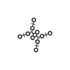 CC(C)(c1ccccc1)c1ccc(N(c2ccc(C(C)(C)c3ccccc3)cc2)c2c3ccccc3c(N(c3ccc(C(C)(C)c4ccccc4)cc3)c3ccc(C(C)(C)c4ccccc4)cc3)c3ccccc23)cc1